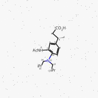 CC(=O)Nc1cc([C@@H](C)CC(=O)O)ccc1N(CC(C)C)CC(C)C